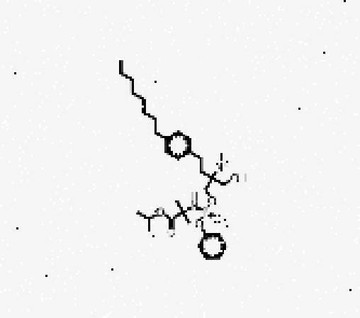 CCCCCCCCc1ccc(CCC(N)(CO)COP(=O)(NC(C)(C)C(=O)OC(C)C)Oc2ccccc2)cc1